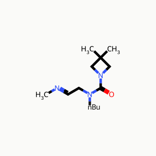 CCCCN(C/C=N/C)C(=O)N1CC(C)(C)C1